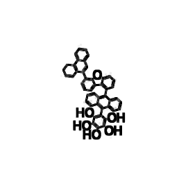 Oc1c(O)c(O)c(-c2c3ccccc3c(-c3cccc4oc5c(-c6cc7ccccc7c7c6C=CCC7)cccc5c34)c3ccccc23)c(O)c1O